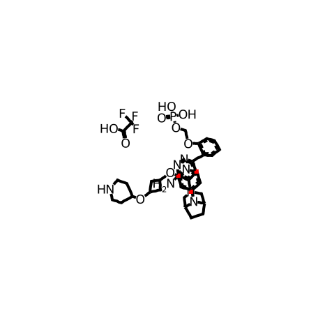 Nc1nnc(-c2ccccc2OCOP(=O)(O)O)cc1N1CC2CCC(C1)N2c1ccnc(OC2CC(OC3CCNCC3)C2)c1.O=C(O)C(F)(F)F